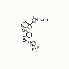 COc1cc(-c2cc(-c3cnn(CCO)c3)n3ncnc(N)c23)ccc1Cn1ccc(C(F)(F)F)n1